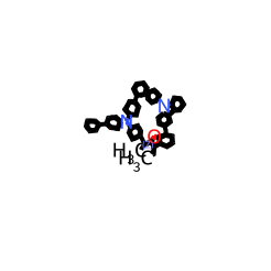 CC=c1/c(=C(\C)c2ccc(N(c3ccc(-c4ccccc4)cc3)c3ccc(-c4ccccc4)cc3)cc2)oc2c(-c3ccc4c(c3)c3ccccc3n4-c3ccccc3)cccc12